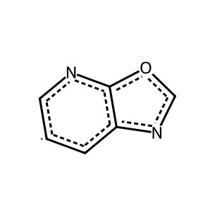 [c]1cnc2ocnc2c1